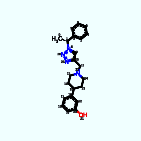 C[C@H](c1ccccc1)n1cc(CN2CCC(c3cccc(O)c3)CC2)nn1